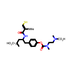 CN/C(=C\S)C(=O)NC(Cc1ccc(OC(=O)N(C)CCN(C)C(=O)O)cc1)C[C@H](C)C(=O)O